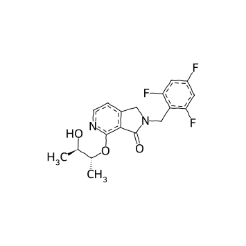 C[C@@H](O)[C@@H](C)Oc1nccc2c1C(=O)N(Cc1c(F)cc(F)cc1F)C2